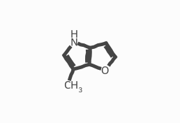 Cc1c[nH]c2ccoc12